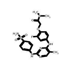 Cc1cnc(Nc2ccc(S(N)(=O)=O)cc2)nc1Nc1ccc(OCC(=O)N(C)C)c(F)c1